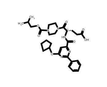 CC(C)COC(=O)N1CCN(C(=O)[C@H](CCC(=O)O)NC(=O)c2cc(OC3CCCC3)nc(-c3ccccc3)n2)CC1